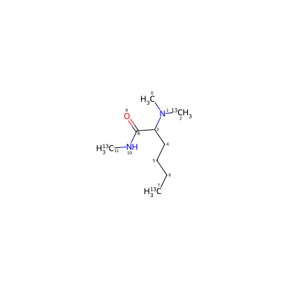 CN([13CH3])C(CCC[13CH3])C(=O)N[13CH3]